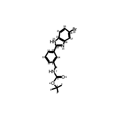 CC(C)(C)OC(=O)NCc1cccc(-c2nc3cc(Br)ccc3[nH]2)c1